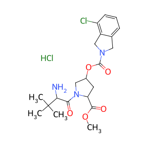 COC(=O)C1CC(OC(=O)N2Cc3cccc(Cl)c3C2)CN1C(=O)C(N)C(C)(C)C.Cl